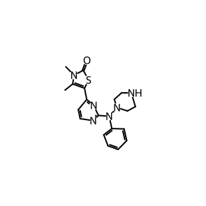 Cc1c(-c2ccnc(N(c3ccccc3)N3CCNCC3)n2)sc(=O)n1C